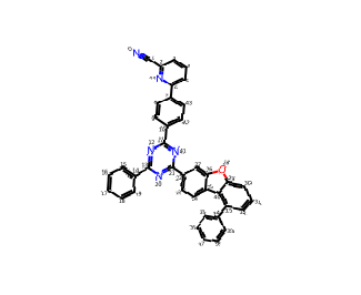 N#Cc1cccc(-c2ccc(-c3nc(-c4ccccc4)nc(-c4ccc5c(c4)oc4cccc(-c6ccccc6)c45)n3)cc2)n1